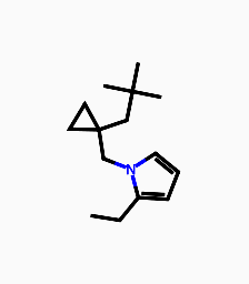 CCc1cccn1CC1(CC(C)(C)C)CC1